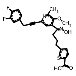 COc1c(C(CCCc2ccc(C(=O)O)s2)=NO)cc(C#CCc2ccc(F)c(F)c2)nc1C